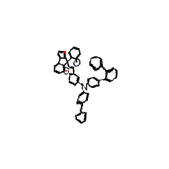 c1ccc(-c2ccc(N(c3ccc(-c4ccccc4-c4ccccc4)cc3)c3ccc4oc5c(c4c3)Oc3ccccc3C53c4ccccc4-c4ccccc43)cc2)cc1